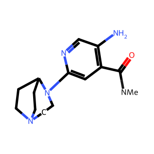 CNC(=O)c1cc(N2CCN3CCC2CC3)ncc1N